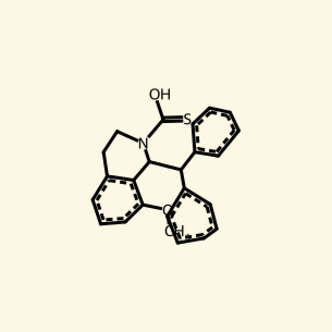 COc1cccc2c1C(C(c1ccccc1)c1ccccc1)N(C(O)=S)CC2